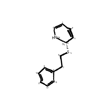 [C]1=CC=C[C@H](SCCc2ccccc2)N1